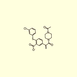 C=C(C(=O)N1CCN(C(C)=O)CC1)c1ccc(Sc2cccc(Cl)c2)c([N+](=O)[O-])c1